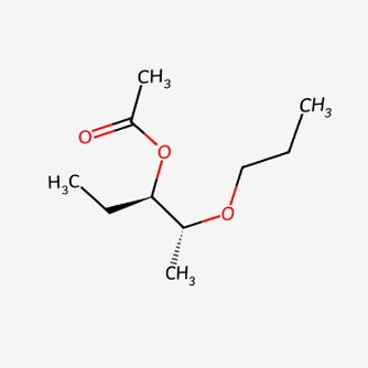 CCCO[C@H](C)[C@@H](CC)OC(C)=O